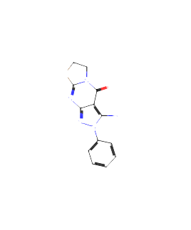 Nc1c2c(=O)n3c(nc2nn1-c1ccccc1)SCC3